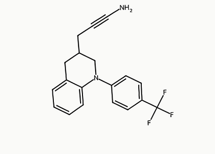 NC#CCC1Cc2ccccc2N(c2ccc(C(F)(F)F)cc2)C1